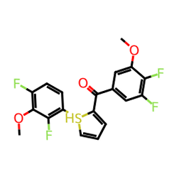 COc1cc(C(=O)C2=CC=C[SH]2c2ccc(F)c(OC)c2F)cc(F)c1F